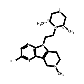 Cc1cnc2c(n1)c1c(n2CCN2[C@H](C)CNC[C@H]2C)CCN(C)C1